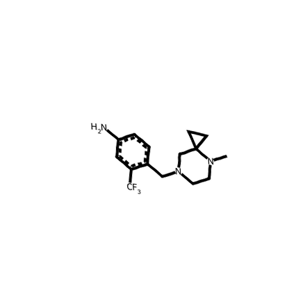 CN1CCN(Cc2ccc(N)cc2C(F)(F)F)CC12CC2